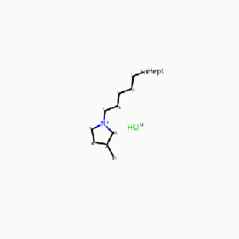 CCCCCCCCCCCCN1CCC(C)C1.Cl